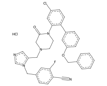 Cl.N#Cc1ccc(Cn2cncc2CN2CCN(c3cc(Cl)ccc3-c3cccc(OCc4ccccc4)c3)C(=O)C2)cc1F